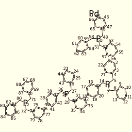 [Pd].c1ccc(CP(Cc2ccccc2)Cc2ccccc2)cc1.c1ccc(CP(Cc2ccccc2)Cc2ccccc2)cc1.c1ccc(CP(Cc2ccccc2)Cc2ccccc2)cc1.c1ccc(CP(Cc2ccccc2)Cc2ccccc2)cc1